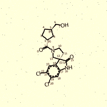 O=C([C@@H]1CC[C@@H](CO)C1)N1CC[C@]2(C1)C(=O)Nc1cc(Cl)c(Cl)cc12